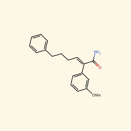 COc1cccc(/C(=C\CCCc2ccccc2)C(N)=O)c1